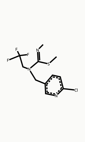 C/N=C(\SC)N(Cc1ccc(Cl)nc1)CC(F)(F)F